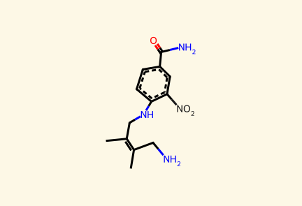 CC(CN)=C(C)CNc1ccc(C(N)=O)cc1[N+](=O)[O-]